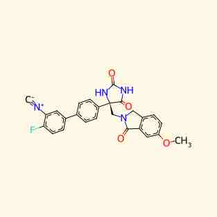 [C-]#[N+]c1cc(-c2ccc([C@]3(CN4Cc5ccc(OC)cc5C4=O)NC(=O)NC3=O)cc2)ccc1F